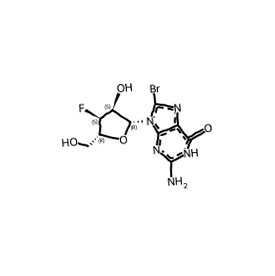 Nc1nc2c(nc(Br)n2[C@@H]2O[C@H](CO)[C@@H](F)[C@H]2O)c(=O)[nH]1